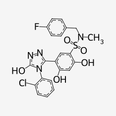 CN(Cc1ccc(F)cc1)S(=O)(=O)c1cc(-c2nnc(O)n2-c2ccccc2Cl)c(O)cc1O